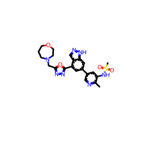 Cc1ncc(-c2cc(-c3nnc(CN4CCCOCC4)o3)c3cn[nH]c3c2)cc1NS(C)(=O)=O